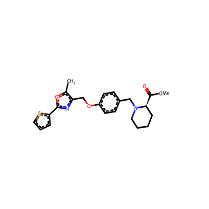 COC(=O)[C@H]1CCCCN1Cc1ccc(OCc2nc(-c3cccs3)oc2C)cc1